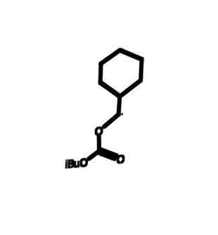 CC(C)COC(=O)O[CH]C1CCCCC1